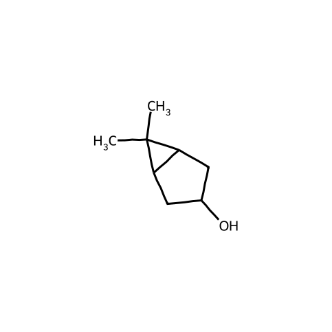 CC1(C)C2CC(O)CC21